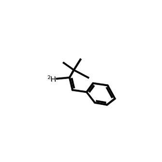 [2H]C(=Cc1ccccc1)C(C)(C)C